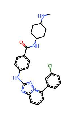 CNC1CCC(NC(=O)c2ccc(Nc3nc4cccc(-c5cccc(Cl)c5)n4n3)cc2)CC1